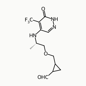 C[C@@H](COCC1CC1C=O)Nc1cn[nH]c(=O)c1C(F)(F)F